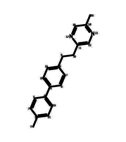 Cc1ccc(-c2ccc(CCc3cnc(C)cn3)cc2)cc1